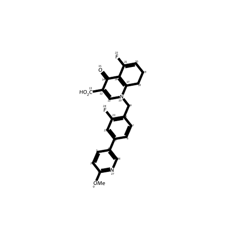 COc1ccc(-c2ccc(Cn3cc(C(=O)O)c(=O)c4c3CCC=C4F)c(F)c2)cn1